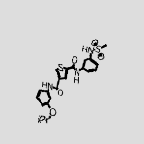 CC(C)Oc1cccc(NC(=O)c2csc(C(=O)Nc3cccc(NS(C)(=O)=O)c3)c2)c1